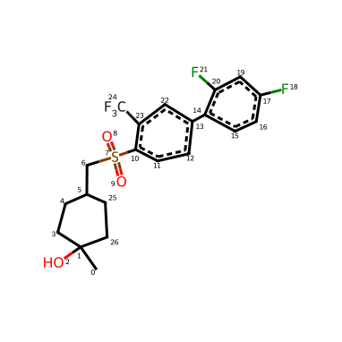 CC1(O)CCC(CS(=O)(=O)c2ccc(-c3ccc(F)cc3F)cc2C(F)(F)F)CC1